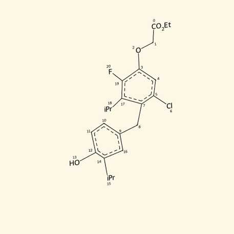 CCOC(=O)COc1cc(Cl)c(Cc2ccc(O)c(C(C)C)c2)c(C(C)C)c1F